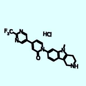 Cl.Cn1c2c(c3ccc(-n4ccc(-c5cnc(C(F)(F)F)nc5)cc4=O)cc31)CNCC2